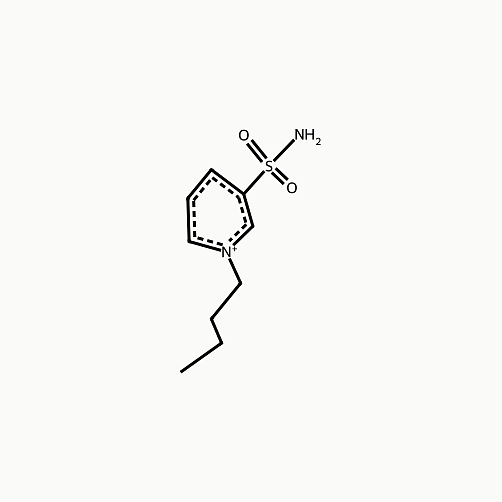 CCCC[n+]1cccc(S(N)(=O)=O)c1